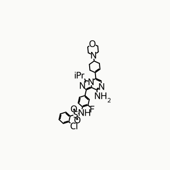 CC(C)c1nc(-c2ccc(NS(=O)(=O)c3ccccc3Cl)c(F)c2)c2c(N)ncc(C3=CCC(N4CCOCC4)CC3)n12